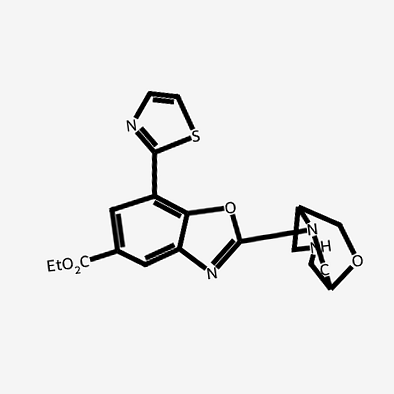 CCOC(=O)c1cc(-c2nccs2)c2oc(N3CC4CNCC3CO4)nc2c1